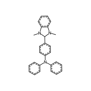 CN1c2ccccc2N(C)C1c1ccc(N(c2ccccc2)c2ccccc2)cc1